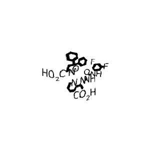 C/C(=N\NC(=O)Nc1cc(F)cc(F)c1)c1ncccc1C(=O)O.O=C(O)C1=NOC(c2ccccc2)(c2ccccc2)C1